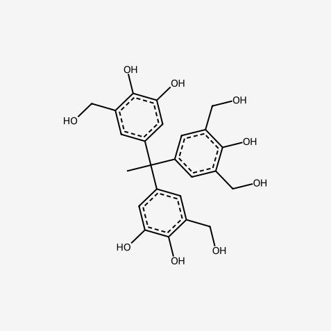 CC(c1cc(O)c(O)c(CO)c1)(c1cc(O)c(O)c(CO)c1)c1cc(CO)c(O)c(CO)c1